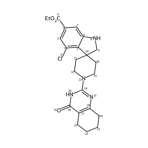 CCOC(=O)c1cc(Cl)c2c(c1)NCC21CCN(c2nc3c(c(=O)[nH]2)CCCC3)CC1